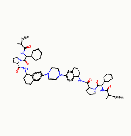 CNC(C)C(=O)NC(C(=O)N1CCC[C@H]1C(=O)N[C@@H]1CCCc2cc(N3CCN(c4ccc5c(c4)CCC[C@H]5NC(=O)[C@@H]4CCCN4C(=O)C(NC(=O)C(C)NC)C4CCCCC4)CC3)ccc21)C1CCCCC1